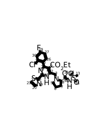 CCOC(=O)C1=C(CN2CCC[C@H]2C(=O)NS(C)(=O)=O)NC(c2nccs2)=NC1c1ccc(F)cc1Cl